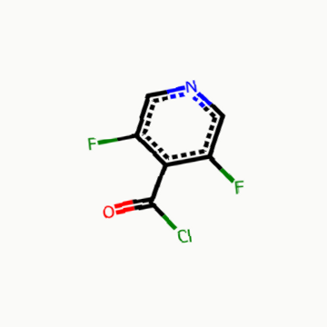 O=C(Cl)c1c(F)cncc1F